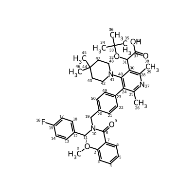 COc1ccccc1C(=O)N(Cc1ccc(F)cc1)Cc1ccc(-c2c(C)nc(C)c(C(OC(C)(C)C)C(=O)O)c2N2CCC(C)(C)CC2)cc1